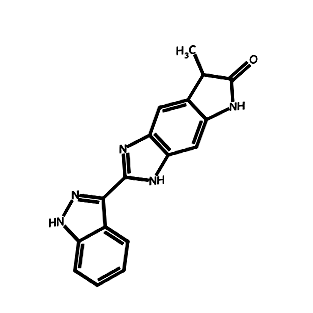 CC1C(=O)Nc2cc3[nH]c(-c4n[nH]c5ccccc45)nc3cc21